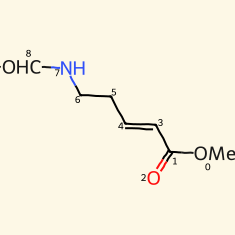 COC(=O)C=CCCN[C]=O